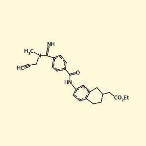 C#CCN(C)C(=N)c1ccc(C(=O)Nc2ccc3c(c2)CC(CC(=O)OCC)CC3)cc1